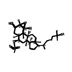 C[C@H](CCCC(C)(C)O)[C@H]1CC[C@H]2[C@@H]3C[C@@H](OS(C)(=O)=O)[C@H]4CC(O)[C@@H]5O[C@@H]5[C@]4(C)[C@H]3CC[C@]12C